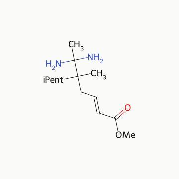 CCCC(C)C(C)(CC=CC(=O)OC)C(C)(N)N